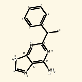 C[C@H](c1ccccc1)c1nc(N)c2nc[nH]c2n1